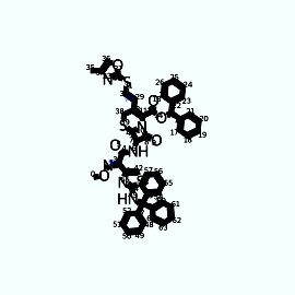 CO/N=C(/C(=O)NC1C(=O)N2C(C(=O)OC(c3ccccc3)c3ccccc3)=C(/C=C/Sc3nc(C)co3)CSC12)c1csc(NC(c2ccccc2)(c2ccccc2)c2ccccc2)n1